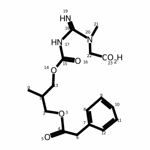 CC(COC(=O)Cc1ccccc1)COC(=O)NC(=N)N(C)CC(=O)O